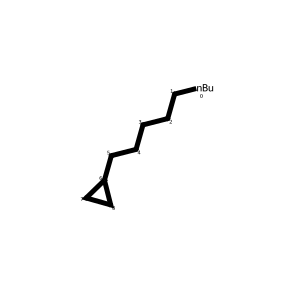 CCCCCCCCC[C]1CC1